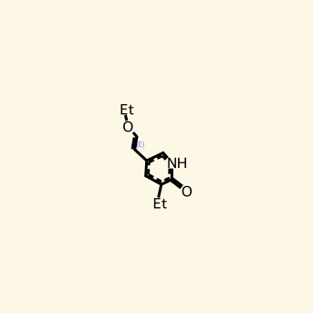 CCO/C=C/c1c[nH]c(=O)c(CC)c1